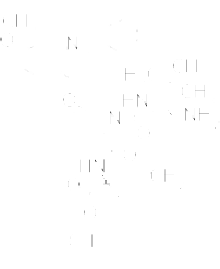 C=CC1C[C@]1(NC(=O)[C@@H]1C[C@@H](Oc2cc(-c3ccccc3)nc3cc(OC)ccc23)CN1C(=O)N[C@H](CN)C(C)(C)C)C(=O)OCC